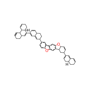 C1#CC2C(C=C(C3=CC4=CC(c5ccc6oc7cc8c(cc7c6c5)OC5C=CC(C6=CC[C@@H]7CCC=CC7=C6)CC85)CCC4C=C3)[C@H]3CCC=CC23)CC1